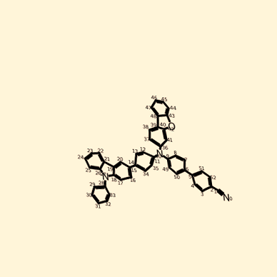 N#Cc1ccc(-c2ccc(N(c3ccc(-c4ccc5c(c4)c4ccccc4n5-c4ccccc4)cc3)c3ccc4c(c3)oc3ccccc34)cc2)cc1